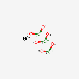 [Ni+3].[O-][Cl+][O-].[O-][Cl+][O-].[O-][Cl+][O-]